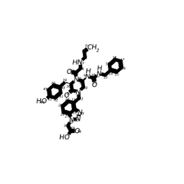 C=CCNCC(=O)N1[C@@H](NC(=O)NCc2ccccc2)CN(Cc2cccc3c2nnn3CC(=O)O)C(=O)[C@@H]1Cc1ccc(O)cc1